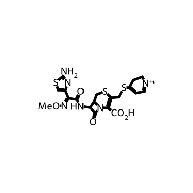 CON=C(C(=O)NC1C(=O)N2C(C(=O)O)=C(CSC3=CC=[N+](C)CC3)SCC12)c1csc(N)n1